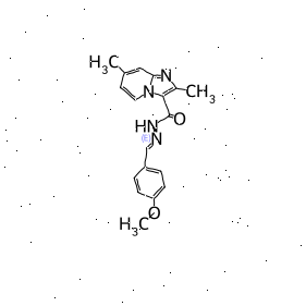 COc1ccc(/C=N/NC(=O)c2c(C)nc3cc(C)ccn23)cc1